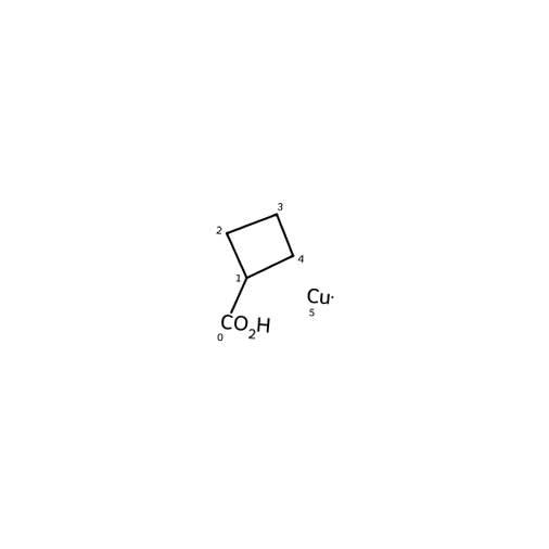 O=C(O)C1CCC1.[Cu]